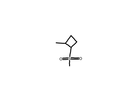 CC1CCC1S(C)(=O)=O